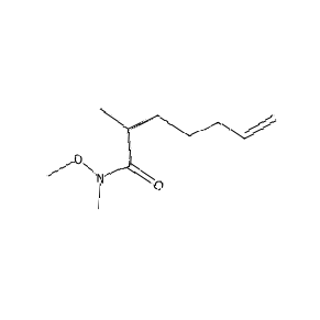 C=CCCCC(C)C(=O)N(C)OC